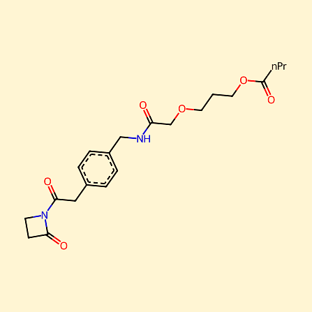 CCCC(=O)OCCCOCC(=O)NCc1ccc(CC(=O)N2CCC2=O)cc1